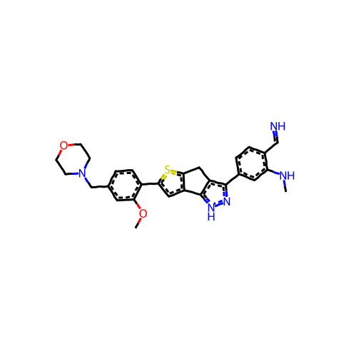 CNc1cc(-c2n[nH]c3c2Cc2sc(-c4ccc(CN5CCOCC5)cc4OC)cc2-3)ccc1C=N